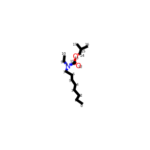 CCCCCCCCN(CC)C(=O)OCC(C)C